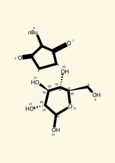 CCCCC1C(=O)CCC1=O.OC[C@H]1OC(O)[C@H](O)[C@@H](O)[C@@H]1O